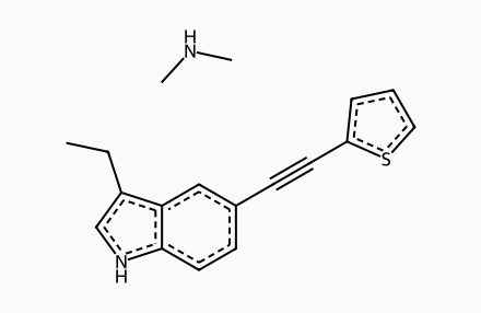 CCc1c[nH]c2ccc(C#Cc3cccs3)cc12.CNC